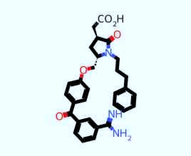 N=C(N)c1cccc(C(=O)c2ccc(OC[C@@H]3C[C@@H](CC(=O)O)C(=O)N3CCCc3ccccc3)cc2)c1